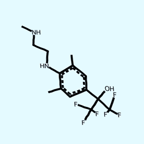 CNCCNc1c(C)cc(C(O)(C(F)(F)F)C(F)(F)F)cc1C